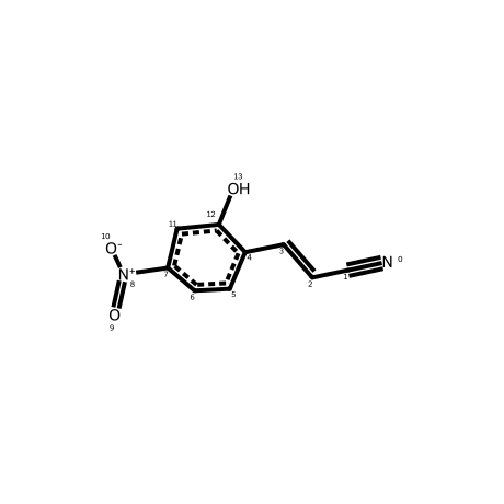 N#C/C=C/c1ccc([N+](=O)[O-])cc1O